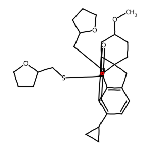 COC1CCC2(CC1)Cc1ccc(C3CC3)cc1C21N=C(SCC2CCCO2)N(CC2CCCO2)C1=O